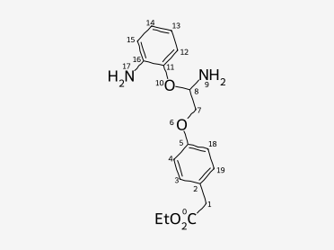 CCOC(=O)Cc1ccc(OCC(N)Oc2ccccc2N)cc1